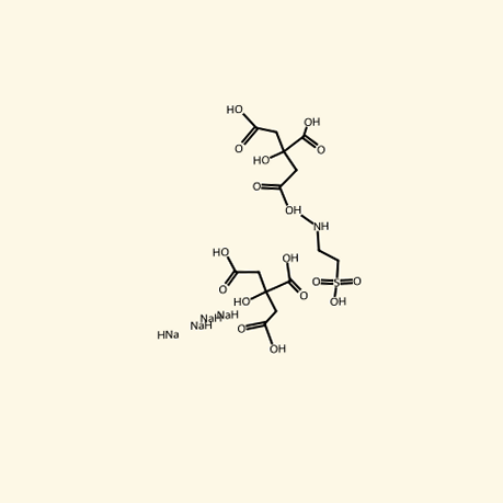 CNCCS(=O)(=O)O.O=C(O)CC(O)(CC(=O)O)C(=O)O.O=C(O)CC(O)(CC(=O)O)C(=O)O.[NaH].[NaH].[NaH].[NaH]